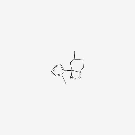 Cc1ccccc1C1(N)CC(C)CCC1=O